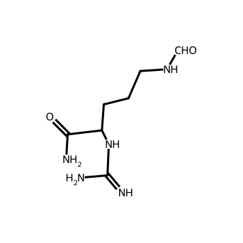 N=C(N)NC(CCCNC=O)C(N)=O